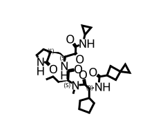 CCC[C@@H](C(=O)N[C@@H](C[C@@H]1CCNC1=O)C(=O)C(=O)NC1CC1)N(C)C(=O)[C@H](NC(=O)C1CC2(CC2)C1)C1CCCC1